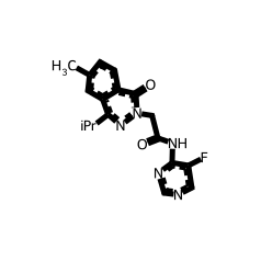 Cc1ccc2c(=O)n(CC(=O)Nc3ncncc3F)nc(C(C)C)c2c1